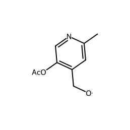 CC(=O)Oc1cnc(C)cc1C[O]